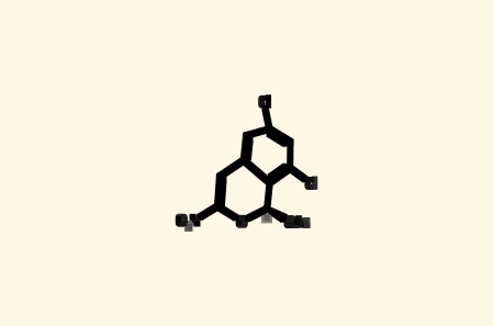 CC(=O)O[C@H]1OC([N+](=O)[O-])=Cc2cc(Cl)cc(Cl)c21